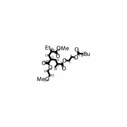 CCC(C)C(=O)OCCOC(=O)C(C)CC(CC(CC)C(=O)OC)C(=O)OCCOC